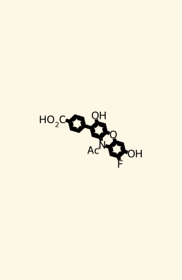 CC(=O)N1c2cc(F)c(O)cc2Oc2cc(O)c(-c3ccc(C(=O)O)cc3)cc21